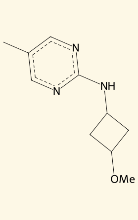 COC1CC(Nc2ncc(C)cn2)C1